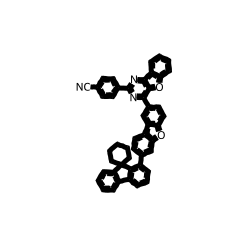 N#Cc1ccc(-c2nc(-c3ccc4oc5cc(-c6cccc7c6C6(CCCCC6)c6ccccc6-7)ccc5c4c3)c3oc4ccccc4c3n2)cc1